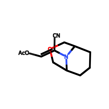 CC(=O)OC=C(C#N)N1C2CCCC1COC2